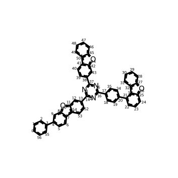 c1ccc(-c2ccc3c(c2)oc2cc(-c4nc(-c5ccc(-c6cccc7oc8ccccc8c67)cc5)nc(-c5ccc6c(c5)oc5ccccc56)n4)ccc23)cc1